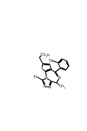 CCc1nnc2n1-c1sc(CC(=O)O)cc1C(c1ccccc1Cl)=NC2C